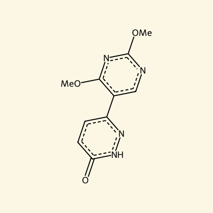 COc1ncc(-c2ccc(=O)[nH]n2)c(OC)n1